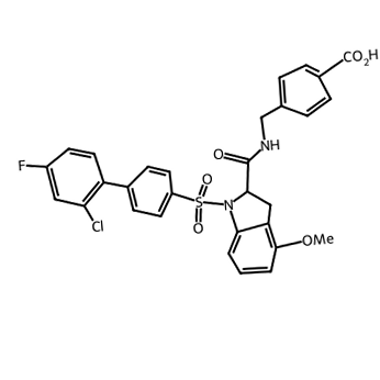 COc1cccc2c1CC(C(=O)NCc1ccc(C(=O)O)cc1)N2S(=O)(=O)c1ccc(-c2ccc(F)cc2Cl)cc1